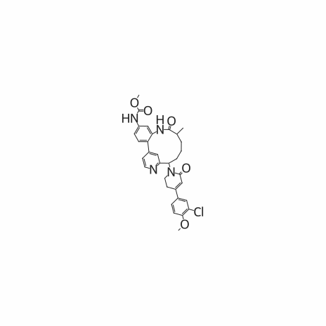 COC(=O)Nc1ccc2c(c1)NC(=O)C(C)CCCC(N1CCC(c3ccc(OC)c(Cl)c3)=CC1=O)c1cc-2ccn1